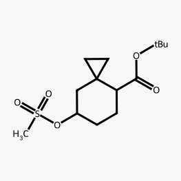 CC(C)(C)OC(=O)C1CCC(OS(C)(=O)=O)CC12CC2